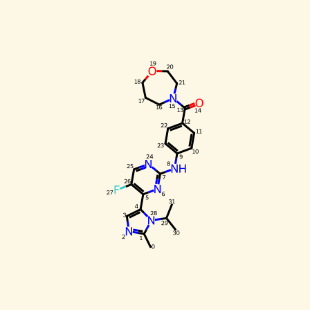 Cc1ncc(-c2nc(Nc3ccc(C(=O)N4CCCOCC4)cc3)ncc2F)n1C(C)C